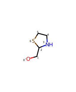 [O]CC1NCCS1